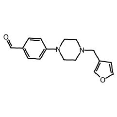 O=Cc1ccc(N2CCN(Cc3ccoc3)CC2)cc1